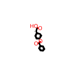 O=C(O)[CH]c1ccc(OC(=O)c2ccccc2)cc1